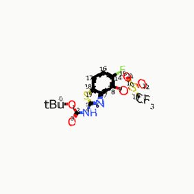 CC(C)(C)OC(=O)Nc1nc2c(OS(=O)(=O)C(F)(F)F)c(F)ccc2s1